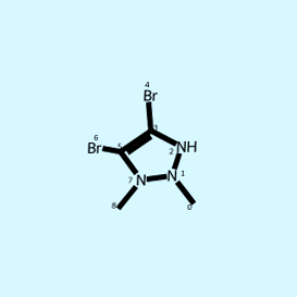 CN1NC(Br)=C(Br)N1C